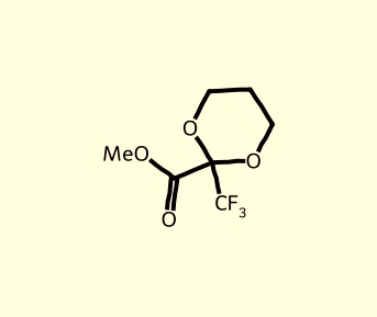 COC(=O)C1(C(F)(F)F)OCCCO1